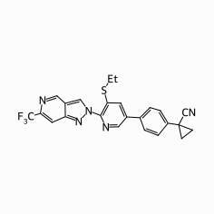 CCSc1cc(-c2ccc(C3(C#N)CC3)cc2)cnc1-n1cc2cnc(C(F)(F)F)cc2n1